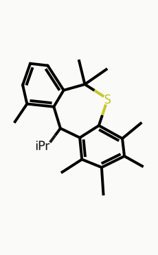 Cc1cccc2c1C(C(C)C)c1c(C)c(C)c(C)c(C)c1SC2(C)C